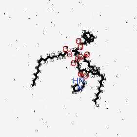 CCCCCCCC/C=C\CCCCCCCC(=O)OCC(COC(=O)CCCCCCC/C=C\CCCCCCCC)(COC(=O)CCC(CCCCCC)OC(=O)NCCN1CCCC1)COC(=O)CC12CC3CC(CC(C3)C1)C2